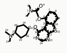 CN(C)C(=O)Oc1cccc2sc3ncnc(O[C@H]4CC[C@H](N(C)C)CC4)c3c12